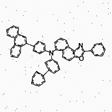 c1ccc(-c2cccc(N(c3ccc(-c4cc5ccccc5c5ccccc45)cc3)c3cccc4c3ccc3oc(-c5ccccc5)nc34)c2)cc1